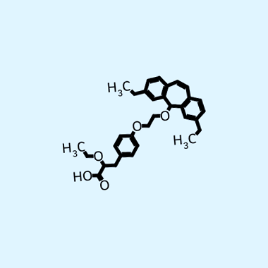 CCOC(Cc1ccc(OCCOC2c3cc(CC)ccc3C=Cc3ccc(CC)cc32)cc1)C(=O)O